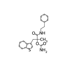 CC(Cc1csc2ccccc12)(OC(N)=O)C(=O)NCCc1ccccc1